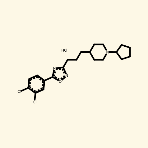 Cl.Clc1ccc(-c2nc(CCCC3CCN(C4CCCC4)CC3)no2)cc1Cl